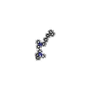 c1ccc(-n2c3ccc(-c4ccc5c6ccccc6n(-c6cccc(-c7ccc(-c8ccc9c(c8)-c8cccc%10cccc-9c8%10)cc7)c6)c5c4)cc3c3ccc4ccccc4c32)cc1